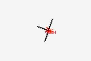 CCCCCCCCCC(=O)C(OS(=O)(=O)O)(C(=O)CCCCCCCCC)C(=O)CCCCCCCCC